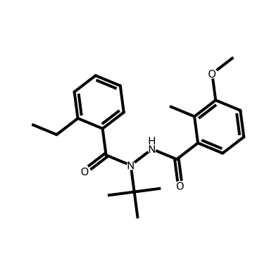 CCc1ccccc1C(=O)N(NC(=O)c1cccc(OC)c1C)C(C)(C)C